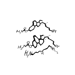 CC(C)CCC[C@@H](C)[C@H]1CCC2C3CC=C4CC(OC(N)=O)CC[C@]4(C)C3CC[C@@]21C.CC(C)CCC[C@@H](C)[C@H]1CCC2C3CC=C4CC(OC(N)=O)CC[C@]4(C)C3CC[C@@]21C.NCCCCNCCCN